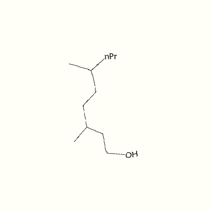 CCCC(C)CCC(C)CCO